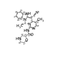 CCN1C(=C(C#N)c2nc(NC(=O)C3CNCCO3)ncc2C)Nc2ccccc21